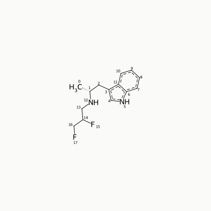 C[C@H](Cc1c[nH]c2ccccc12)NCC(F)CF